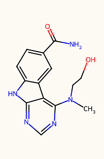 CN(CCO)c1ncnc2[nH]c3ccc(C(N)=O)cc3c12